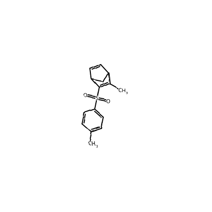 CC1=C(S(=O)(=O)c2ccc(C)cc2)C2C=CC1C2